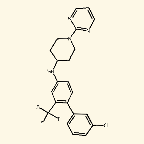 FC(F)(F)c1cc(NC2CCN(c3ncccn3)CC2)ccc1-c1cccc(Cl)c1